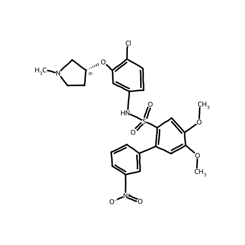 COc1cc(-c2cccc([N+](=O)[O-])c2)c(S(=O)(=O)Nc2ccc(Cl)c(O[C@@H]3CCN(C)C3)c2)cc1OC